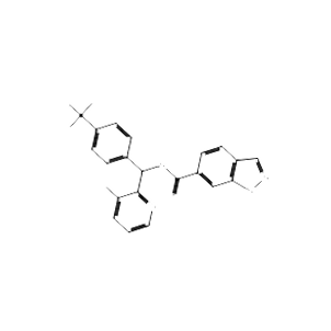 O=C(NC(c1ccc(C(F)(F)F)cc1)c1ncccc1F)c1ccc2cn[nH]c2c1